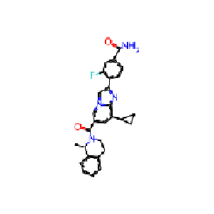 C[C@@H]1c2ccccc2CCN1C(=O)c1cc(C2CC2)c2nc(-c3ccc(C(N)=O)cc3F)cn2c1